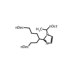 CCCCCCCCCCCCCC(CCCCCCCCCCCC)c1nccn1C(C)CCCCCCCC